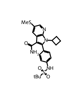 CSc1cnc2c(c1)c(C(N)=O)c(-c1ccc(NS(=O)(=O)C(C)(C)C)cc1)n2C1CCC1